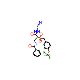 N#CCNC(=O)C(CNC(=O)c1ccccc1)S(=O)(=O)Cc1ccc(SC(F)(F)F)cc1